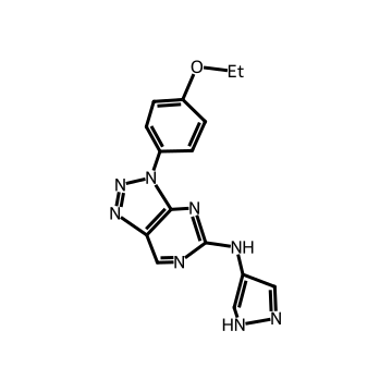 CCOc1ccc(-n2nnc3cnc(Nc4cn[nH]c4)nc32)cc1